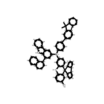 CC1(C)c2ccccc2-c2ccc(-c3ccc(N(c4ccc5c(c4)Sc4ccc(Cl)cc4C54c5ccccc5-c5ccccc54)c4cc(-c5cccc6ccccc56)c5oc6ccccc6c5c4)cc3)cc21